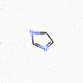 [C]1=[N+]=CC=N1